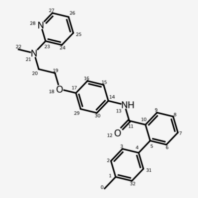 Cc1ccc(-c2ccccc2C(=O)Nc2ccc(OCCN(C)c3ccccn3)cc2)cc1